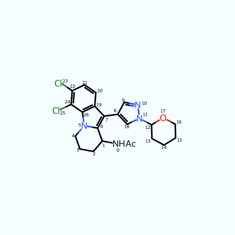 CC(=O)NC1CCCn2c1c(-c1cnn(C3CCCCO3)c1)c1ccc(Cl)c(Cl)c12